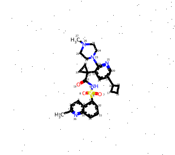 Cc1ccc2c(S(=O)(=O)NC(=O)C3(c4cc(C5CCC5)cnc4N4CCN(C)CC4)CC3)cccc2n1